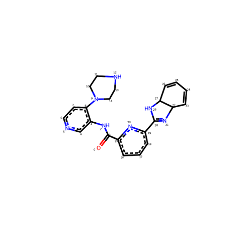 O=C(Nc1cnccc1N1CCNCC1)c1cccc(C2=NC3C=CC=CC3N2)n1